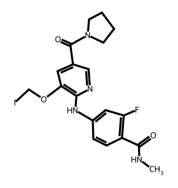 CNC(=O)c1ccc(Nc2ncc(C(=O)N3CCCC3)cc2OCI)cc1F